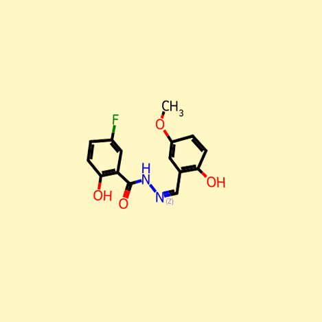 COc1ccc(O)c(/C=N\NC(=O)c2cc(F)ccc2O)c1